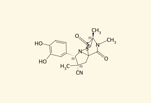 CN1C(=O)C23C[C@](C)(C#N)[C@H](c4ccc(O)c(O)c4)N2C(=O)[C@]1(C)SS3